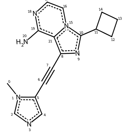 Cn1cncc1C#Cc1nc(C2CCC2)n2ccnc(N)c12